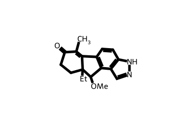 CCC12CCC(=O)C(C)=C1c1ccc3[nH]ncc3c1C2OC